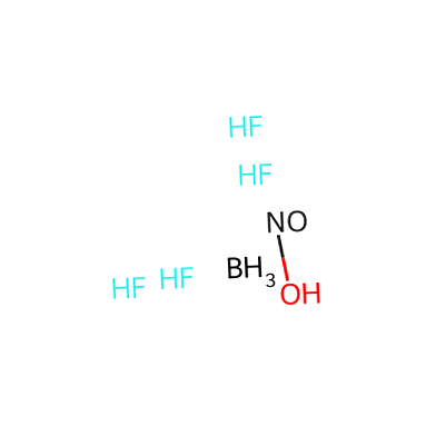 B.F.F.F.F.O=NO